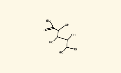 CCC(O)C(O)C(O)C(O)C(=O)C(C)(C)C